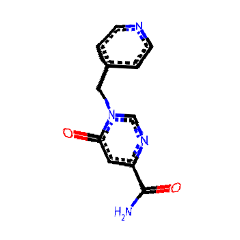 NC(=O)c1cc(=O)n(Cc2ccncc2)cn1